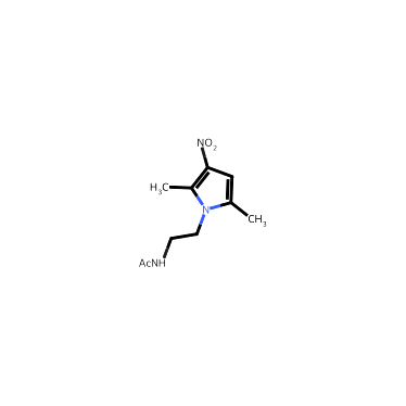 CC(=O)NCCn1c(C)cc([N+](=O)[O-])c1C